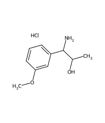 COc1cccc(C(N)C(C)O)c1.Cl